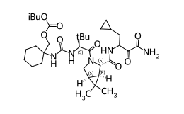 CC(C)COC(=O)OCC1(NC(=O)N[C@H](C(=O)N2C[C@H]3[C@@H]([C@H]2C(=O)NC(CC2CC2)C(=O)C(N)=O)C3(C)C)C(C)(C)C)CCCCC1